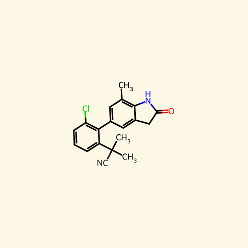 Cc1cc(-c2c(Cl)cccc2C(C)(C)C#N)cc2c1NC(=O)C2